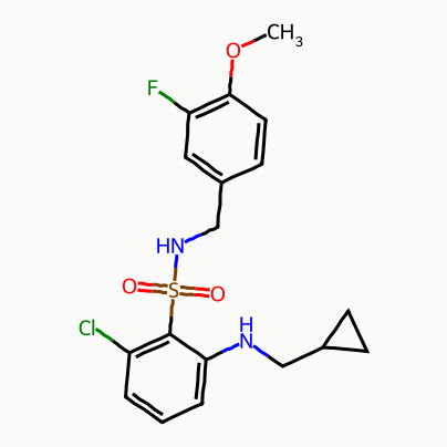 COc1ccc(CNS(=O)(=O)c2c(Cl)cccc2NCC2CC2)cc1F